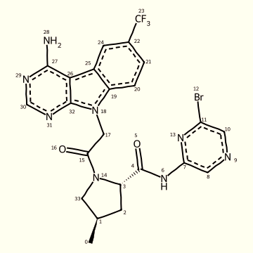 C[C@@H]1C[C@@H](C(=O)Nc2cncc(Br)n2)N(C(=O)Cn2c3ccc(C(F)(F)F)cc3c3c(N)ncnc32)C1